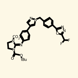 CC(C)(C)OC(=O)N1CCN(C(=O)O)C1=Nc1ccc(-c2cnn(Cc3ccc(-c4nnc(C(F)F)o4)cc3)c2)cc1